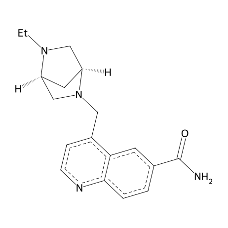 CCN1C[C@@H]2C[C@H]1CN2Cc1ccnc2ccc(C(N)=O)cc12